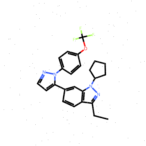 CCc1nn(C2CCCC2)c2cc(-c3ccnn3-c3ccc(OC(F)(F)F)cc3)ccc12